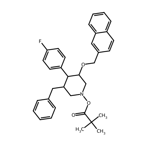 CC(C)(C)C(=O)ON1CC(Cc2ccccc2)C(c2ccc(F)cc2)C(OCc2ccc3ccccc3c2)C1